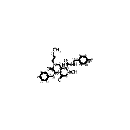 COCCN1C[C@H]2N(C(=O)CN(C)N2C(=O)NCc2ccc(F)cc2)[C@@H](Cc2ccccc2)C1=O